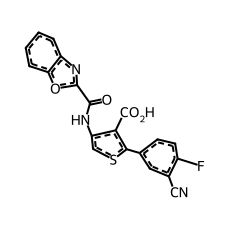 N#Cc1cc(-c2scc(NC(=O)c3nc4ccccc4o3)c2C(=O)O)ccc1F